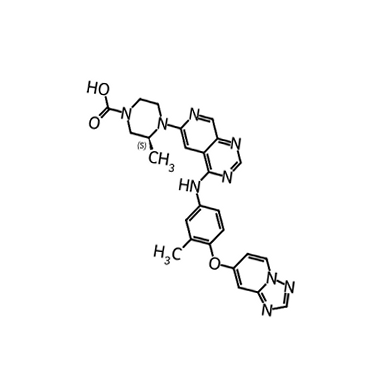 Cc1cc(Nc2ncnc3cnc(N4CCN(C(=O)O)C[C@@H]4C)cc23)ccc1Oc1ccn2ncnc2c1